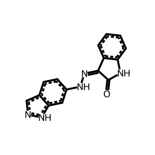 O=C1Nc2ccccc2C1=NNc1ccc2cn[nH]c2c1